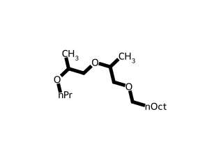 C[CH]COC(C)COC(C)COCCCCCCCCC